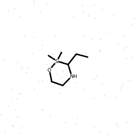 CCC1NCCO[Si]1(C)C